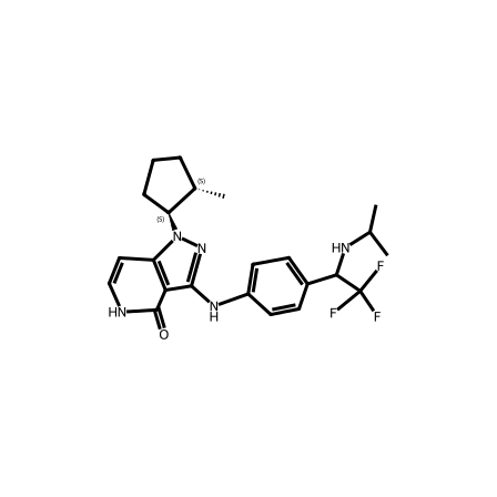 CC(C)NC(c1ccc(Nc2nn([C@H]3CCC[C@@H]3C)c3cc[nH]c(=O)c23)cc1)C(F)(F)F